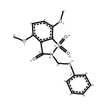 COc1ccc(OC)c2c1C(=O)N(CSc1ccccc1)S2(=O)=O